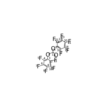 O=C(Oc1c(F)c(F)c(F)c(F)c1F)Oc1c(F)c(F)c(F)c(F)c1F